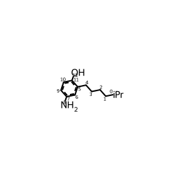 CC(C)CCCCc1cc(N)ccc1O